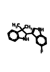 CC1(C)c2ccccc2NC1C1=CBc2ccc(F)cc21